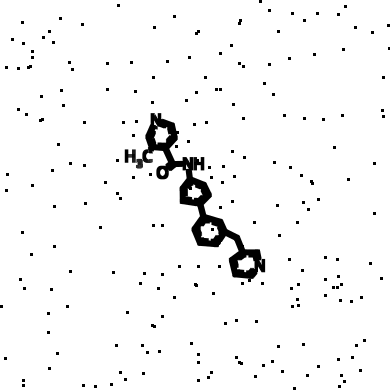 Cc1cnccc1C(=O)Nc1ccc(-c2cccc(Cc3cccnc3)c2)cc1